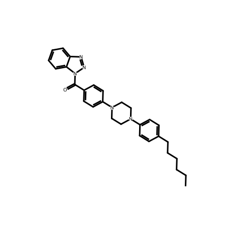 CCCCCCc1ccc(N2CCN(c3ccc(C(=O)n4nnc5ccccc54)cc3)CC2)cc1